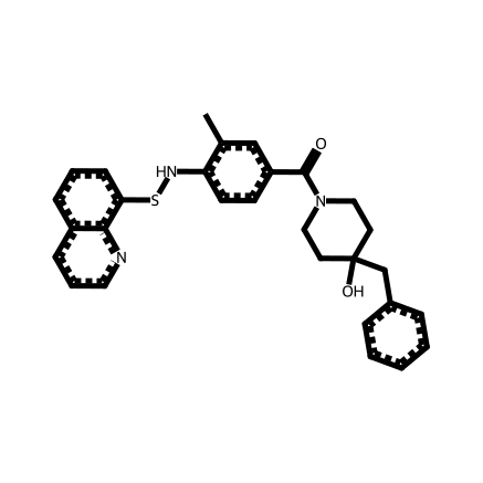 Cc1cc(C(=O)N2CCC(O)(Cc3ccccc3)CC2)ccc1NSc1cccc2cccnc12